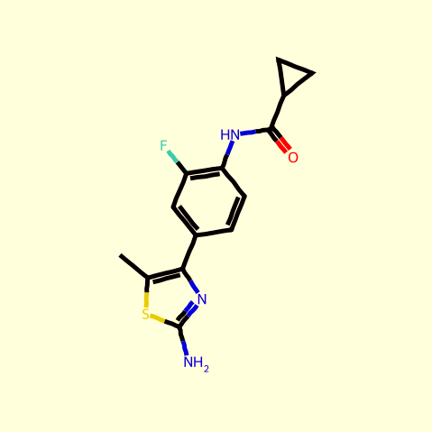 Cc1sc(N)nc1-c1ccc(NC(=O)C2CC2)c(F)c1